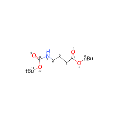 CCCCOC(=O)CCCNC(=O)OC(C)(C)C